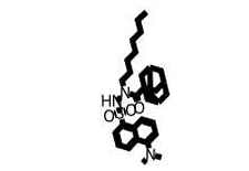 CCCCCCCCN(NS(=O)(=O)c1cccc2c(N(C)C)cccc12)C(=O)C12CC3CC(CC(C3)C1)C2